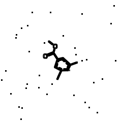 COC(=O)c1cc(C)[c]c(C)c1